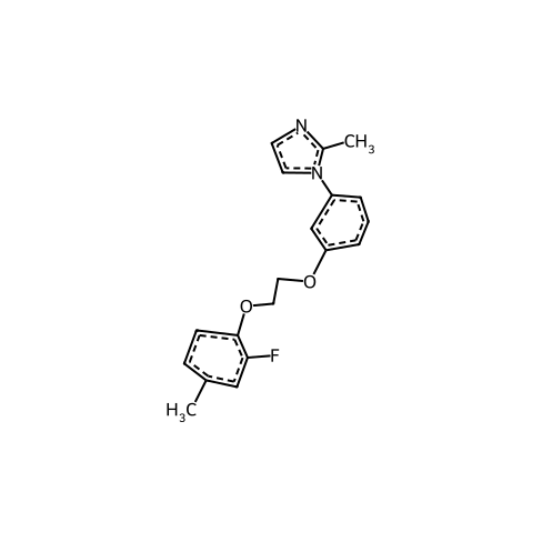 Cc1ccc(OCCOc2cccc(-n3ccnc3C)c2)c(F)c1